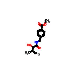 COC(=O)c1ccc(CNC(=O)[C@H](O)C(C)C)cc1